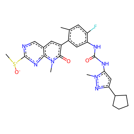 Cc1cc(F)c(NC(=O)Nc2cc(C3CCCC3)nn2C)cc1-c1cc2cnc([S+](C)[O-])nc2n(C)c1=O